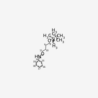 CC(C)(C)[Si](C)(C)OCCCCONc1ccccc1